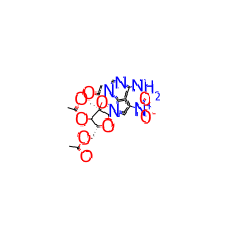 CC(=O)OC[C@H]1O[C@@H](n2cc([N+](=O)[O-])c3c(N)ncnc32)[C@](C)(OC(C)=O)[C@@H]1OC(C)=O